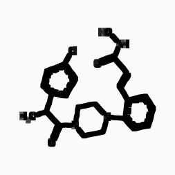 CC(C(=O)N1CCN(c2ccccc2C=CC(=O)NO)CC1)c1ccc(Cl)cc1